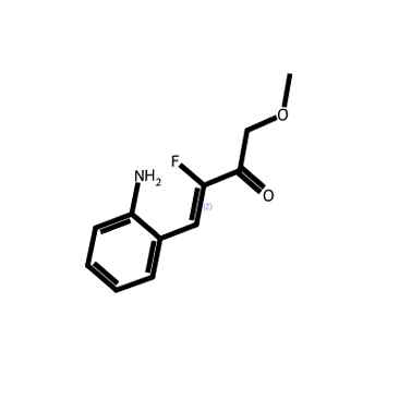 COCC(=O)/C(F)=C/c1ccccc1N